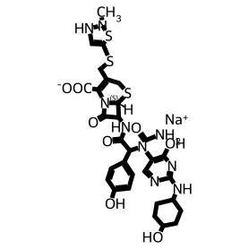 CN1NC=C(SCC2=C(C(=O)[O-])N3C(=O)C(NC(=O)C(c4ccc(O)cc4)N(C(N)=O)c4cnc(NC5CCC(O)CC5)nc4O)[C@@H]3SC2)S1.[Na+]